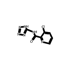 O=C(Nc1nnn[nH]1)c1ncccc1Cl